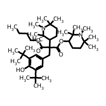 CCCCOC(=O)C(Cc1cc(C(C)(C)C)c(O)c(C(C)(C)C)c1)(C(=O)OC1CCC(C)(C)N(C)C1(C)C)C1CCC(C)(C)N(C)C1(C)C